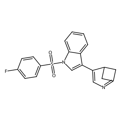 O=S(=O)(c1ccc(F)cc1)n1cc(C2=CN=C3CC2C3)c2ccccc21